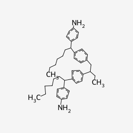 CCCCCCC(c1ccc(N)cc1)c1ccc(CC(CC)c2ccc(C(CCCCCC)c3ccc(N)cc3)cc2)cc1